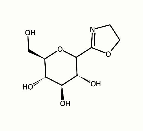 OC[C@H]1OC(C2=NCCO2)[C@H](O)[C@@H](O)[C@@H]1O